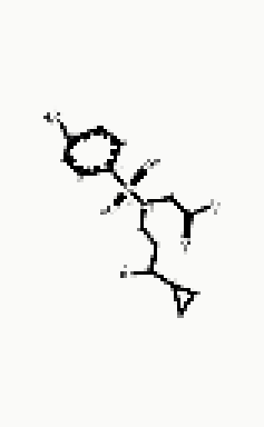 CCC(=O)CN(CCC(O)C1CC1)S(=O)(=O)c1ccc(C)cc1